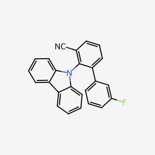 N#Cc1cccc(-c2cccc(F)c2)c1-n1c2ccccc2c2ccccc21